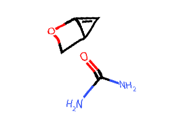 C1=C2OCC12.NC(N)=O